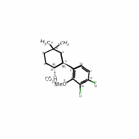 COc1c([C@@H]2CC(C)(C)CC[C@H]2C(=O)O)ccc(F)c1F